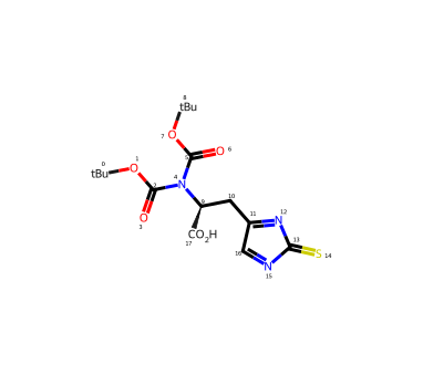 CC(C)(C)OC(=O)N(C(=O)OC(C)(C)C)[C@@H](CC1=NC(=S)N=C1)C(=O)O